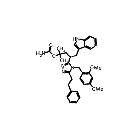 COc1ccc(Cn2c(CCc3ccccc3)nnc2[C@H](Cc2c[nH]c3ccccc23)CC(C)(C)OC(N)=O)c(OC)c1